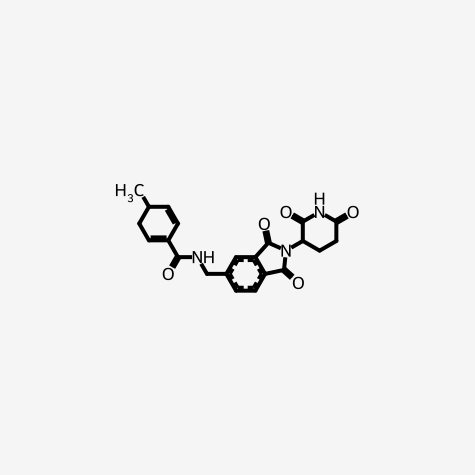 CC1C=CC(C(=O)NCc2ccc3c(c2)C(=O)N(C2CCC(=O)NC2=O)C3=O)=CC1